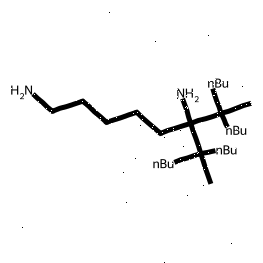 CCCCC(C)(CCCC)C(N)(CCCCCN)C(C)(CCCC)CCCC